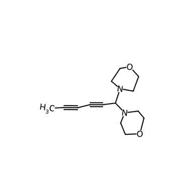 CC#CC#CC(N1CCOCC1)N1CCOCC1